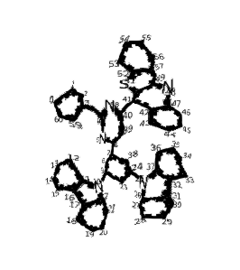 c1ccc(-c2nc(-c3cc(-n4c5ccccc5c5ccccc54)cc(-n4c5ccccc5c5ccccc54)c3)cc(-c3c4ccccc4nc4c3sc3ccccc34)n2)cc1